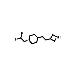 FC(F)CN1CCC(CCC2CNC2)CC1